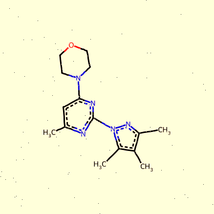 Cc1cc(N2CCOCC2)nc(-n2nc(C)c(C)c2C)n1